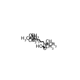 CC(C)(C)N(CCCCO[Si](C)(C)C(C)(C)C)C(=O)O